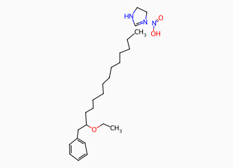 C1=NCCN1.CCCCCCCCCCCCC(Cc1ccccc1)OCC.O=NO